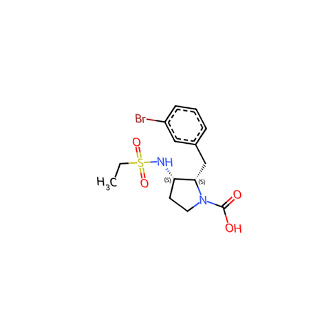 CCS(=O)(=O)N[C@H]1CCN(C(=O)O)[C@H]1Cc1cccc(Br)c1